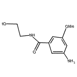 COc1cc(N)cc(C(=O)NCCO)c1